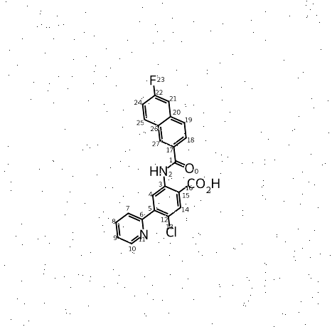 O=C(Nc1cc(-c2ccccn2)c(Cl)cc1C(=O)O)c1ccc2cc(F)ccc2c1